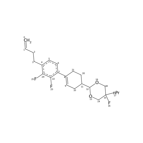 C=CCCc1ccc(C2=CCC(C3OCC(F)(CCC)CO3)CC2)c(F)c1F